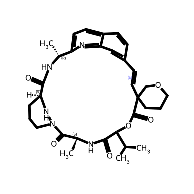 CC(C)C1OC(=O)C2(/C=C/c3ccc4ccc(nc4c3)[C@@H](C)NC(=O)[C@@H]3CCCN(N3)C(=O)[C@H](C)NC1=O)CCCOC2